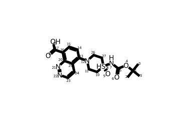 CC(C)(C)OC(=O)N[SH]1(=O)CCN(c2ccc(C(=O)O)c3nnccc23)CC1